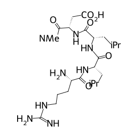 CNC(=O)[C@H](CC(=O)O)NC(=O)[C@H](CC(C)C)NC(=O)[C@H](CC(C)C)NC(=O)[C@@H](N)CCCNC(=N)N